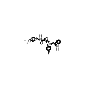 CN1CCN(CCNC(=O)c2coc(CN(CCc3c[nH]c4ccccc34)Cc3ccc(F)cc3)n2)CC1